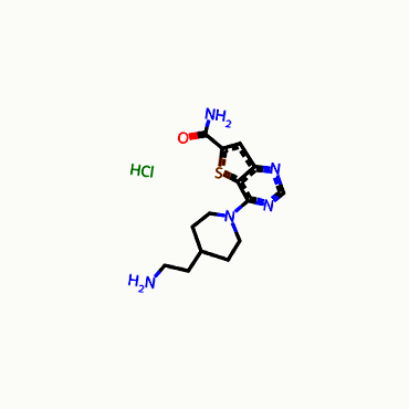 Cl.NCCC1CCN(c2ncnc3cc(C(N)=O)sc23)CC1